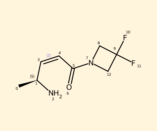 C[C@H](N)/C=C\C(=O)N1CC(F)(F)C1